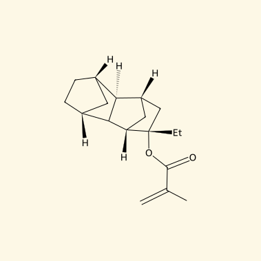 C=C(C)C(=O)O[C@@]1(CC)C[C@@H]2C[C@H]1C1[C@@H]3CC[C@@H](C3)[C@H]12